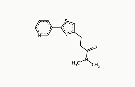 CN(C)C(=O)CCc1csc(-c2cccnc2)n1